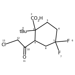 CC(C)(C)C1(C(=O)O)CCC(F)(F)CC1C(=O)CCl